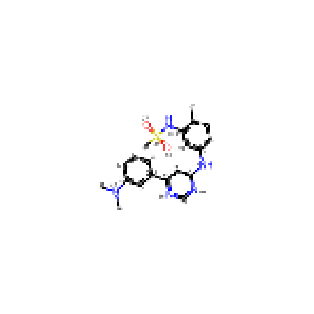 Cc1ccc(Nc2cc(-c3cccc(N(C)C)c3)ncn2)cc1NS(C)(=O)=O